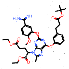 CCOC(=O)CCC(C(=O)OCC)n1c(C)nc2c(Oc3cccc(CCC(=O)OC(C)(C)C)c3)nc(Oc3cc(C(=N)N)ccc3OC)nc21